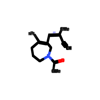 C#C/C(=C\C1=C(CCC)CCCN(C(=O)OC)C1)OC